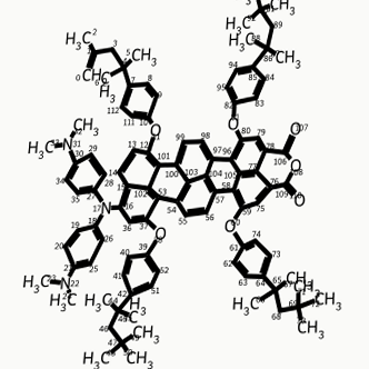 C=C(C)CC(C)(C)c1ccc(Oc2ccc3c(N(c4ccc(N(C)C)cc4)c4ccc(N(C)C)cc4)cc(Oc4ccc(C(C)(C)CC(C)(C)C)cc4)c4c5ccc6c7c(Oc8ccc(C(C)(C)CC(C)(C)C)cc8)cc8c9c(cc(Oc%10ccc(C(C)(C)CC(C)(C)C)cc%10)c(c%10ccc(c2c34)c5c%106)c97)C(=O)OC8=O)cc1